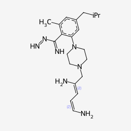 Cc1cc(CC(C)C)cc(N2CCN(C/C(N)=C/C=C\N)CC2)c1C(=N)N=N